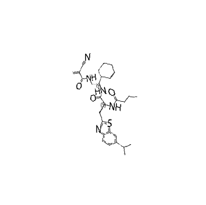 C=C(C#N)C(=O)NC[C@@H](NC(=O)[C@H](Cc1nc2ccc(C(C)C)cc2s1)NC(=O)CCC)C1CCCCC1